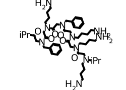 CC(C)C(=O)CN(Cc1ccccc1)C(=O)CN(CCCCN)C(=O)CN(Cc1ccccc1)C(=O)CN(CCCCN)C(=O)CN(CCCCN)C(=O)CN(CCCCN)C(C)C